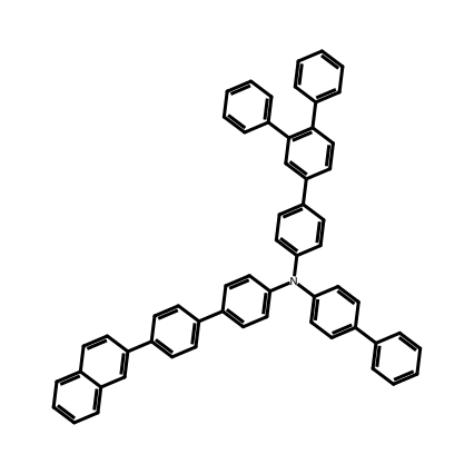 c1ccc(-c2ccc(N(c3ccc(-c4ccc(-c5ccc6ccccc6c5)cc4)cc3)c3ccc(-c4ccc(-c5ccccc5)c(-c5ccccc5)c4)cc3)cc2)cc1